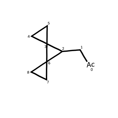 CC(=O)CC1C2(CC2)C12CC2